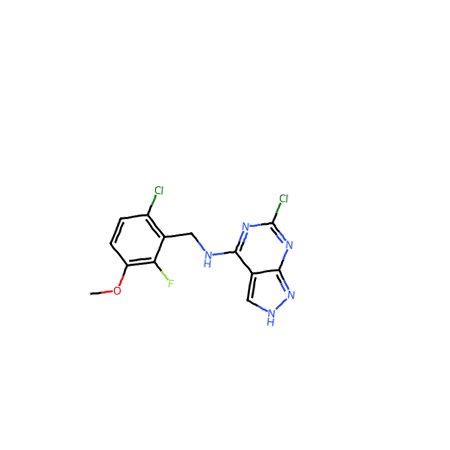 COc1ccc(Cl)c(CNc2nc(Cl)nc3n[nH]cc23)c1F